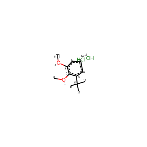 COc1c([O][Ti])cccc1C(C)(C)C.Cl.Cl